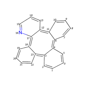 c1ccc2/c(c1)=c1/cccc/c1=c1\cccn\c1=c1/cccc/c1=2